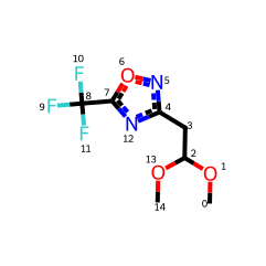 COC(Cc1noc(C(F)(F)F)n1)OC